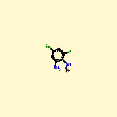 CC(C)Nc1c(N)cc(Br)cc1F